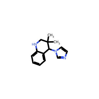 CC1(C)CNc2ccccc2C1n1ccnc1